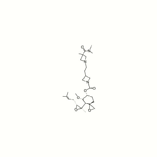 CO[C@@H]1[C@H](OC(=O)N2CC(CCN3CC(C)(C(=O)N(C)C)C3)C2)CC[C@]2(CO2)[C@H]1[C@@]1(C)O[C@@H]1CC=C(C)C